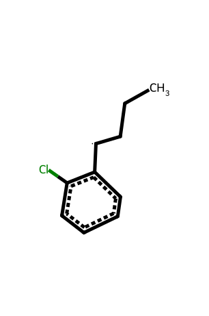 CCC[CH]c1ccccc1Cl